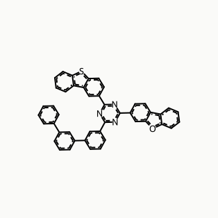 c1ccc(-c2cccc(-c3cccc(-c4nc(-c5ccc6c(c5)oc5ccccc56)nc(-c5ccc6sc7ccccc7c6c5)n4)c3)c2)cc1